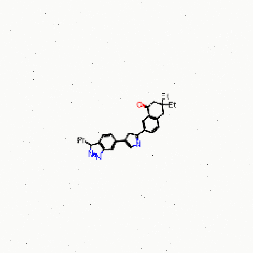 CCC1(CC)CC(=O)c2cc(C3=NC=C(c4ccc5c(c4)N=NC5C(C)C)C3)ccc2C1